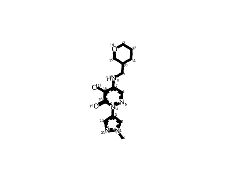 Cn1cc(-n2ncc(NCC3CCCOC3)c(Cl)c2=O)cn1